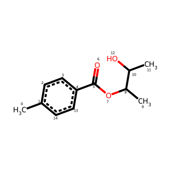 Cc1ccc(C(=O)OC(C)C(C)O)cc1